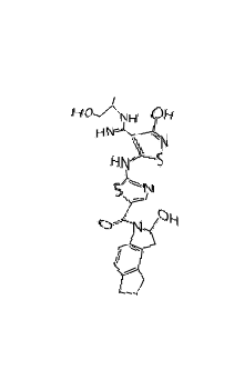 CC(CO)NC(=N)c1c(O)nsc1Nc1ncc(C(=O)N2c3ccc4c(c3CC2O)CCC4)s1